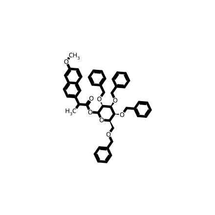 COc1ccc2cc(C(C)C(=O)OC3O[C@H](COCc4ccccc4)[C@@H](OCc4ccccc4)[C@H](OCc4ccccc4)[C@H]3OCc3ccccc3)ccc2c1